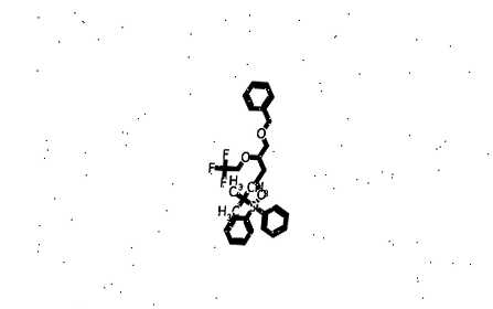 CC(C)(C)[Si](OCCC(COCc1ccccc1)OCC(F)(F)F)(c1ccccc1)c1ccccc1